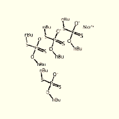 CCCCOP([O-])(=S)SCCCC.CCCCOP([O-])(=S)SCCCC.CCCCOP([O-])(=S)SCCCC.CCCCOP([O-])(=S)SCCCC.[Mo+4]